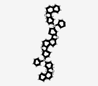 c1ccc(N(c2ccc3c(c2)oc2ccc4c(ccc5sc6cc(N(c7ccccc7)c7ccc8oc9ccc%10ccccc%10c9c8c7)ccc6c54)c23)c2ccc3oc4ccc5ccccc5c4c3c2)cc1